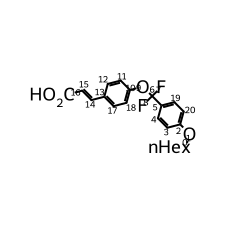 CCCCCCOc1ccc(C(F)(F)Oc2ccc(C=CC(=O)O)cc2)cc1